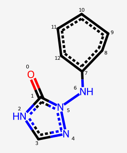 O=c1[nH]cnn1Nc1ccccc1